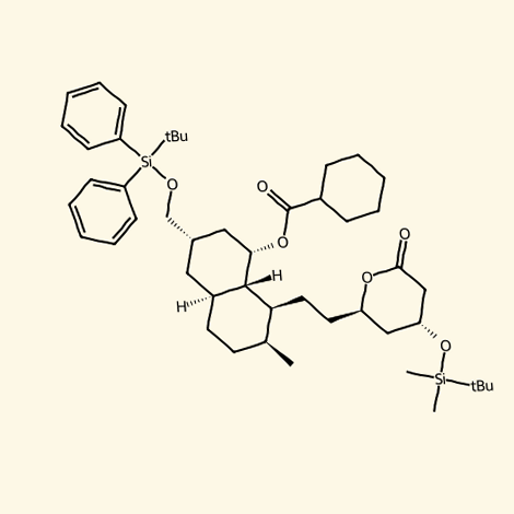 C[C@H]1CC[C@H]2C[C@H](CO[Si](c3ccccc3)(c3ccccc3)C(C)(C)C)C[C@H](OC(=O)C3CCCCC3)[C@@H]2[C@H]1CC[C@@H]1C[C@@H](O[Si](C)(C)C(C)(C)C)CC(=O)O1